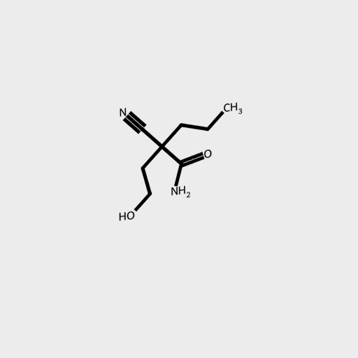 CCCC(C#N)(CCO)C(N)=O